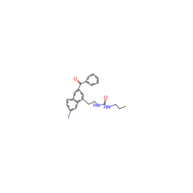 CCCNC(=O)NCCc1cc(C(=O)c2ccccc2)cc2ccc(I)cc12